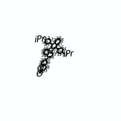 CC(C)c1ccc(-c2c3c(c(-c4ccc(C(C)C)cc4)c4ccccc24)-c2ccc(-c4ccc5oc(=O)ccc5c4)c4cccc-3c24)cc1